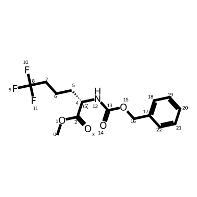 COC(=O)[C@H](CCCC(F)(F)F)NC(=O)OCc1ccccc1